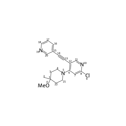 COC1(C)CCN(c2cc(Cl)ncc2C#Cc2cccnc2)CC1